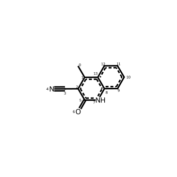 Cc1c(C#N)c(=O)[nH]c2ccccc12